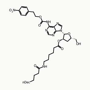 CCCCCCCCCCCCCC(=O)NCCCCCC(=O)O[C@@H]1C[C@@H](CO)O[C@H]1n1cnc2c(NC(=O)OCCc3ccc([N+](=O)[O-])cc3)ncnc21